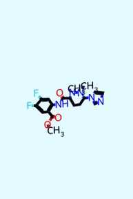 COC(=O)c1cc(F)c(F)cc1NC(=O)C1CCC(n2ccnc2)N(C)N1C